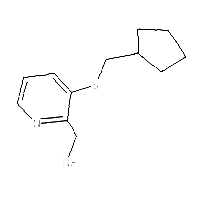 NCc1ncccc1SCC1CCCC1